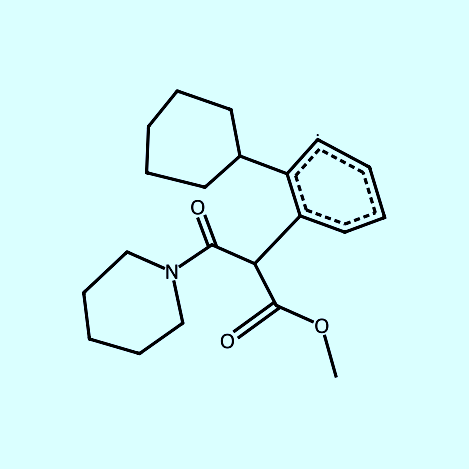 COC(=O)C(C(=O)N1CCCCC1)c1ccc[c]c1C1CCCCC1